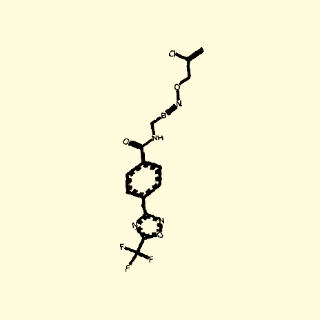 C=C(Cl)CO/N=B/CNC(=O)c1ccc(-c2noc(C(F)(F)F)n2)cc1